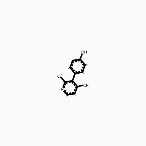 N#Cc1ccnc(Cl)c1-c1ccc(O)cc1